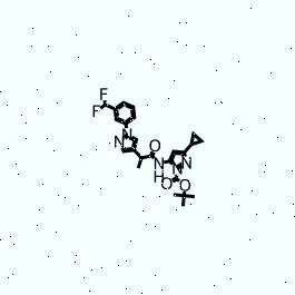 CC(C(=O)Nc1cc(C2CC2)nn1C(=O)OC(C)(C)C)c1cnn(-c2cccc(C(F)F)c2)c1